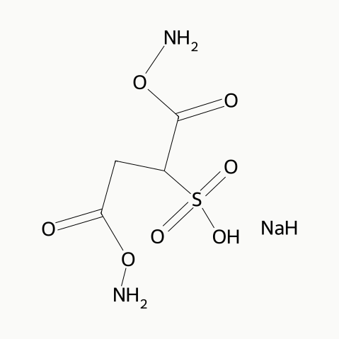 NOC(=O)CC(C(=O)ON)S(=O)(=O)O.[NaH]